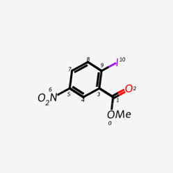 COC(=O)c1cc([N+](=O)[O-])ccc1I